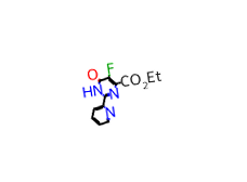 CCOC(=O)c1nc(-c2ccccn2)[nH]c(=O)c1F